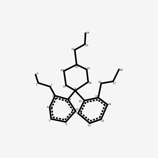 CCCc1ccccc1C1(c2ccccc2CCC)CCC(CCC)CC1